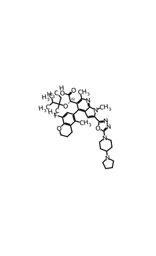 CCC(C)(O[C@H](C(=O)O)c1c(C)nc2c(cc(-c3nnc(N4CCC(N5CCCC5)CC4)o3)n2C)c1-c1cc(F)c2c(c1C)CCCO2)C(C)C